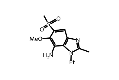 CCn1c(C)nc2cc(S(C)(=O)=O)c(OC)c(N)c21